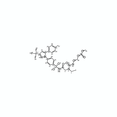 CCN(CC(=O)NS(=O)(=O)c1ccc(-n2nc(C(F)(F)F)cc2-c2ccc(C)cc2)cc1)/[N+]([O-])=N/OCOC(=O)OC